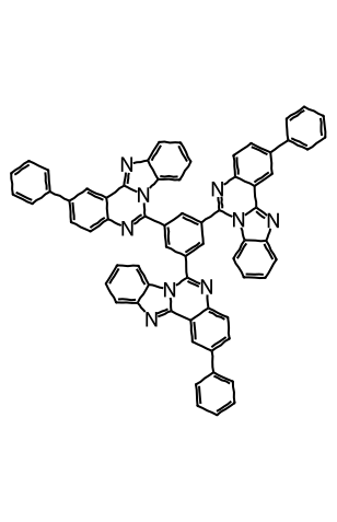 c1ccc(-c2ccc3nc(-c4cc(-c5nc6ccc(-c7ccccc7)cc6c6nc7ccccc7n56)cc(-c5nc6ccc(-c7ccccc7)cc6c6nc7ccccc7n56)c4)n4c5ccccc5nc4c3c2)cc1